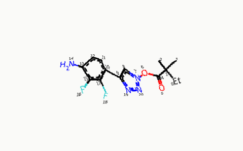 CCC(C)(C)C(=O)On1cc(-c2ccc(N)c(F)c2F)nn1